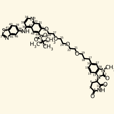 Cn1c(=O)n(C2CCC(=O)NC2=O)c2ccc(CCCOCCOCCOCCOc3cc4nccc(Nc5ccc6scnc6c5)c4cc3S(=O)(=O)C(C)(C)C)cc21